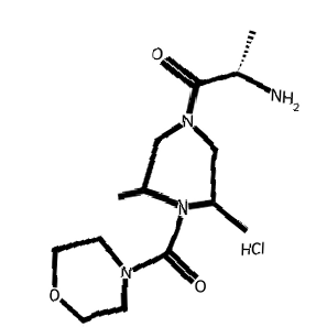 CC1CN(C(=O)[C@H](C)N)CC(C)N1C(=O)N1CCOCC1.Cl